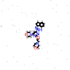 c1ccc2c(c1)CC/C2=N/Nc1cc(N2CCOCC2)nc(OCCN2CCOCC2)n1